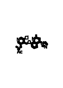 CC(=O)N(C)Cc1cncc(Cl)c1COc1cccc2c(-n3ccnc3)cc(C)nc12